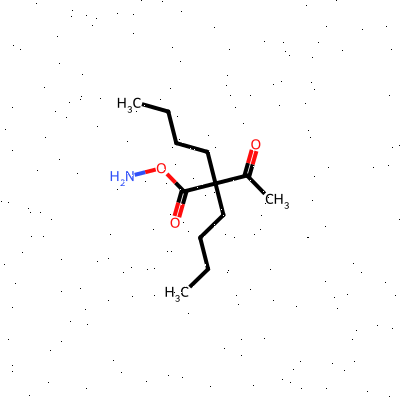 CCCCC(CCCC)(C(C)=O)C(=O)ON